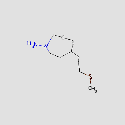 CSCCC1CCCN(N)CC1